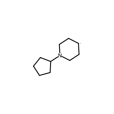 [CH]1CCN(C2CCCC2)CC1